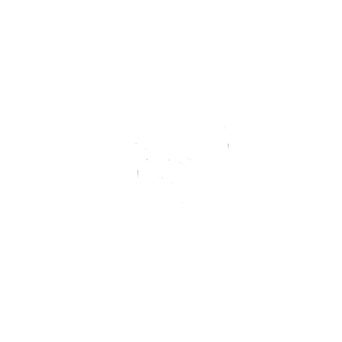 O=C(NC(C(=O)N/N=C/c1cccc(C(F)(F)F)c1)c1n[nH]c(=O)c2ccccc12)c1ccccc1